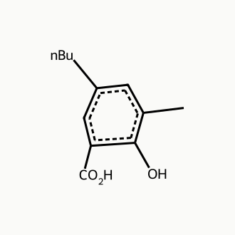 CCCCc1cc(C)c(O)c(C(=O)O)c1